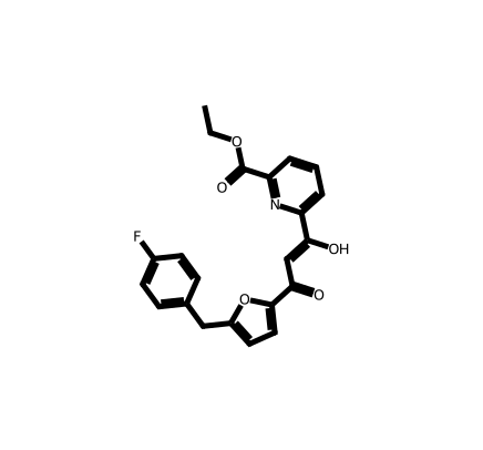 CCOC(=O)c1cccc(C(O)=CC(=O)c2ccc(Cc3ccc(F)cc3)o2)n1